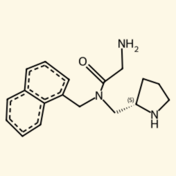 NCC(=O)N(Cc1cccc2ccccc12)C[C@@H]1CCCN1